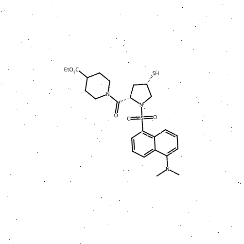 CCOC(=O)C1CCN(C(=O)[C@@H]2C[C@H](S)CN2S(=O)(=O)c2cccc3c(N(C)C)cccc23)CC1